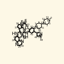 CN1CCN(C2CCN(c3cc(OCC(F)(F)F)c(Nc4nc(Nc5ccc6nccnc6c5P=O)c5cc[nH]c5n4)cc3-c3cnn(C)c3)CC2)CC1